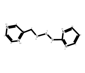 c1cnc(SSSCc2cnccn2)nc1